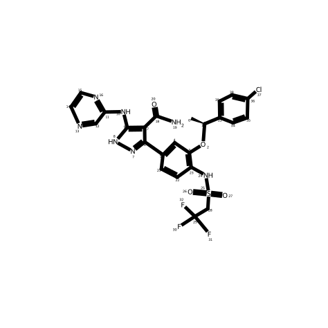 C[C@H](Oc1cc(-c2n[nH]c(Nc3cnccn3)c2C(N)=O)ccc1NS(=O)(=O)CC(F)(F)F)c1ccc(Cl)cc1